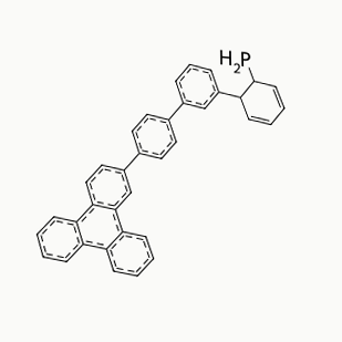 PC1C=CC=CC1c1cccc(-c2ccc(-c3ccc4c5ccccc5c5ccccc5c4c3)cc2)c1